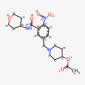 CC(=O)OC1CCN(Cc2ccc([N+](=O)[O-])c(C(=O)NC3CCOCC3)c2)CC1